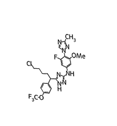 COc1cc(Nc2n[nH]c(C(CCCCCl)c3ccc(OC(F)(F)F)cc3)n2)cc(F)c1-n1cnc(C)n1